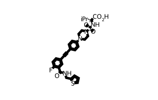 CC(C)[C@@H](NS(=O)(=O)N1CCN(c2ccc(C#Cc3ccc(F)c(C(=O)NCc4cccs4)c3)cc2)CC1)C(=O)O